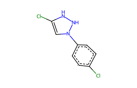 ClC1=CN(c2c[c]c(Cl)cc2)NN1